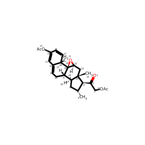 CC(=O)OCC(=O)[C@H]1[C@H](C)C[C@H]2[C@@H]3CC=C4C=C(OC(C)=O)C=C[C@]4(C)[C@@]34O[C@H]4C[C@@]21C